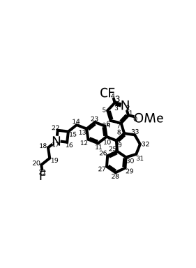 COc1nc(C(F)(F)F)ccc1C1=C(c2ccc(CC3CN(CCCF)C3)cc2)c2ccccc2CCC1